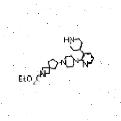 CCOC(=O)N1CC2(CC[C@@H](N3CCN(c4ncccc4C4=CCNCC4)CC3)C2)C1